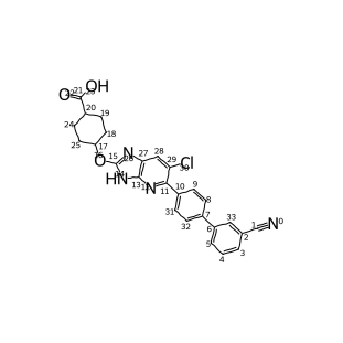 N#Cc1cccc(-c2ccc(-c3nc4[nH]c(OC5CCC(C(=O)O)CC5)nc4cc3Cl)cc2)c1